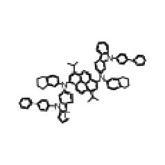 CC(C)c1cc(N(c2ccc3c(c2)CCCC3)c2ccc3c4ccccc4n(-c4ccc(-c5ccccc5)cc4)c3c2)c2ccc3c(C(C)C)cc(N(c4ccc5c(c4)CCCC5)c4ccc5c6ccccc6n(-c6ccc(-c7ccccc7)cc6)c5c4)c4ccc1c2c34